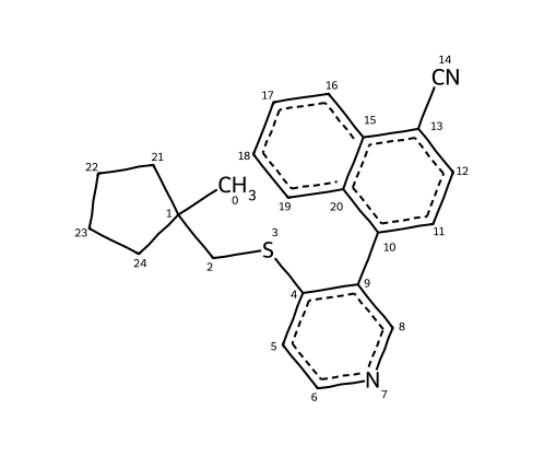 CC1(CSc2ccncc2-c2ccc(C#N)c3ccccc23)CCCC1